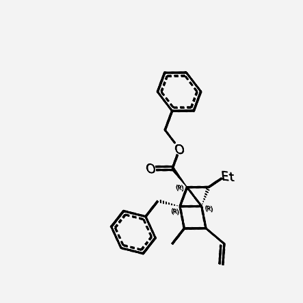 C=CC1C(C)[C@@]2(Cc3ccccc3)[C@]3(C(=O)OCc4ccccc4)C(CC)[C@]123